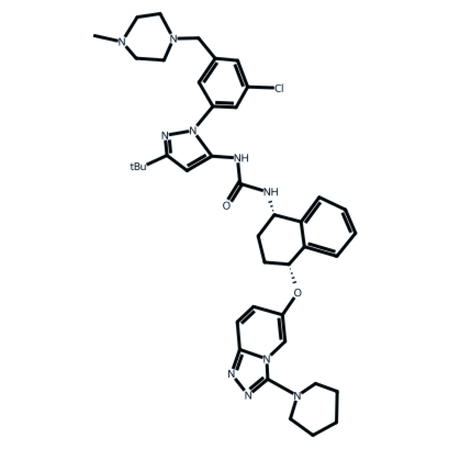 CN1CCN(Cc2cc(Cl)cc(-n3nc(C(C)(C)C)cc3NC(=O)N[C@H]3CC[C@@H](Oc4ccc5nnc(N6CCCCC6)n5c4)c4ccccc43)c2)CC1